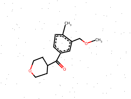 COCc1cc(C(=O)C2CCOCC2)ccc1C